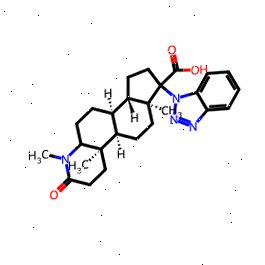 CN1C(=O)CC[C@@]2(C)C1CC[C@@H]1[C@H]2CC[C@@]2(C)[C@H]1CCC2(C(=O)O)n1nnc2ccccc21